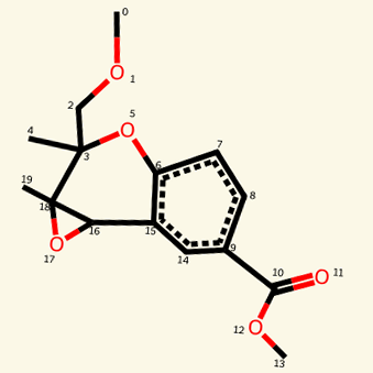 COCC1(C)Oc2ccc(C(=O)OC)cc2C2OC21C